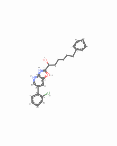 OC(CCCCCc1ccccc1)c1nc2ncc(-c3ccccc3Cl)cc2o1